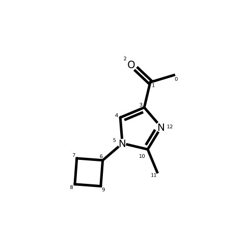 CC(=O)c1cn(C2CCC2)c(C)n1